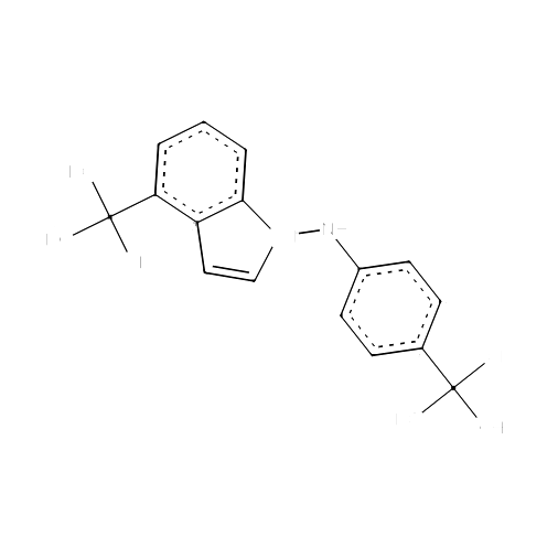 CC(C)(C)c1ccc(N[SH]2C=Cc3c2cccc3C(C)(C)C)cc1